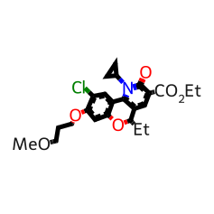 CCOC(=O)c1cc2c(n(C3CC3)c1=O)-c1cc(Cl)c(OCCCOC)cc1OC2CC